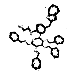 OCCNc1ccc(Cc2cc3ccccc3s2)cc1[C@@H]1O[C@H](COCc2ccccc2)[C@@H](OCc2ccccc2)[C@H](OCc2ccccc2)[C@H]1OCc1ccccc1